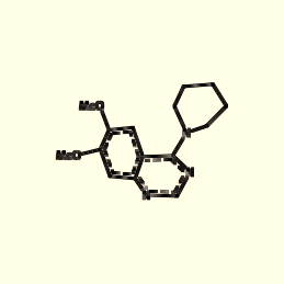 COc1cc2ncnc(N3CCCCC3)c2cc1OC